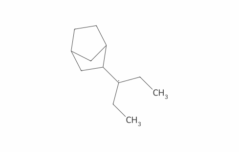 CC[C](CC)C1CC2CCC1C2